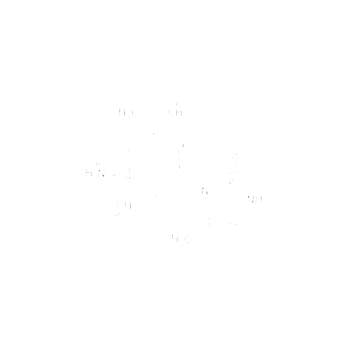 CC1CNC(=O)N1C1CC(C)(C)CC(C)(N)C1